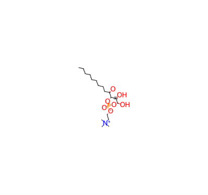 CCCCCCCCCC(=O)C(OP(=O)([O-])OCC[N+](C)(C)C)[C@@H](O)CO